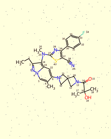 CCc1nn2cc(C)c(N3CC4(CN(C(=O)C(C)(C)O)C4)C3)cc2c1N(C)c1nc(-c2ccc(F)cc2)c(C#N)s1